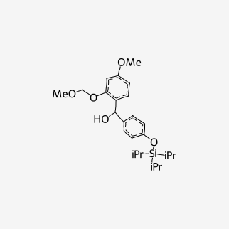 COCOc1cc(OC)ccc1C(O)c1ccc(O[Si](C(C)C)(C(C)C)C(C)C)cc1